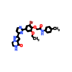 CCOc1cc(-c2nccc(-c3cc4n(n3)CCNC4=O)n2)cc(Br)c1OCC(=O)Nc1ccc(C)cc1